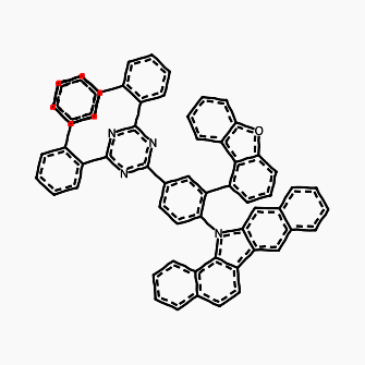 c1ccc(-c2ccccc2-c2nc(-c3ccc(-n4c5cc6ccccc6cc5c5ccc6ccccc6c54)c(-c4cccc5oc6ccccc6c45)c3)nc(-c3ccccc3-c3ccccc3)n2)cc1